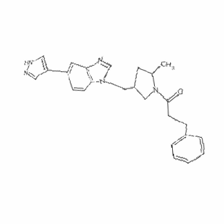 CC1CC(Cn2cnc3cc(-c4cn[nH]c4)ccc32)CN1C(=O)CCc1ccccc1